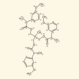 COc1cccc(C(C)C(=O)OCC(C)(COC(=O)C(C)c2cccc(OC)c2)COC(=O)C(C)c2cccc(OC)c2)c1